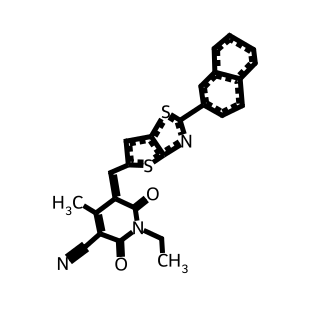 CCN1C(=O)C(C#N)=C(C)/C(=C/c2cc3sc(-c4ccc5ccccc5c4)nc3s2)C1=O